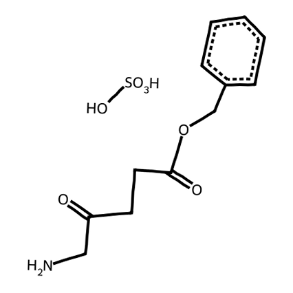 NCC(=O)CCC(=O)OCc1ccccc1.O=S(=O)(O)O